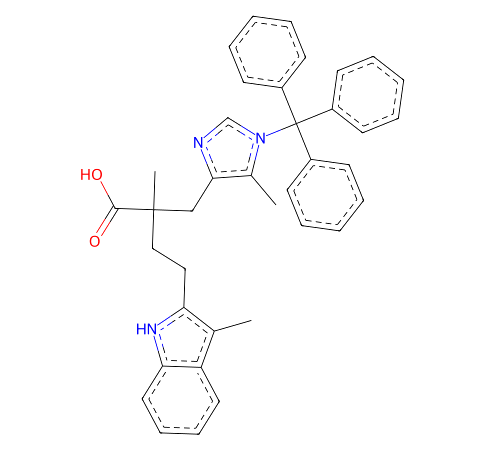 Cc1c(CCC(C)(Cc2ncn(C(c3ccccc3)(c3ccccc3)c3ccccc3)c2C)C(=O)O)[nH]c2ccccc12